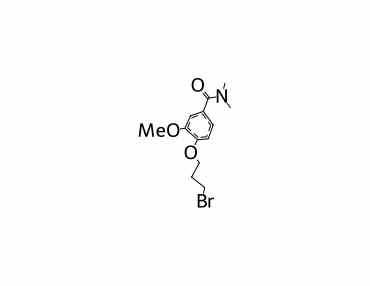 COc1cc(C(=O)N(C)C)ccc1OCCCBr